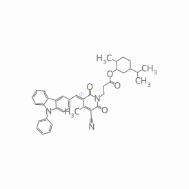 CC1=C(C#N)C(=O)N(CCC(=O)OC2CC(C(C)C)CCC2C)C(=O)/C1=C/c1ccc2c(c1)c1ccccc1n2-c1ccccc1